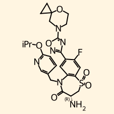 CC(C)Oc1ccc(CN2C(=O)[C@@H](N)CS(=O)(=O)c3cc(F)c(-c4noc(N5CCOC6(CC6)C5)n4)cc32)cn1